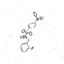 O=[N+]([O-])c1ccc(S(=O)(=O)NCc2ccccc2F)cc1